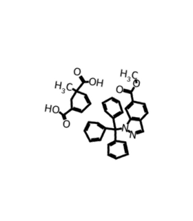 CC1(C(=O)O)C=CC=C(C(=O)O)C1.COC(=O)c1ccc2cnn(C(c3ccccc3)(c3ccccc3)c3ccccc3)c2c1